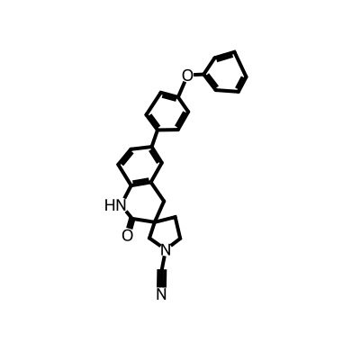 N#CN1CCC2(Cc3cc(-c4ccc(Oc5ccccc5)cc4)ccc3NC2=O)C1